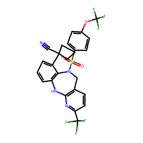 N#CC1(c2cccc3c2N(S(=O)(=O)c2ccc(OC(F)(F)F)cc2)Cc2ccc(C(F)(F)F)nc2N3)CCC1